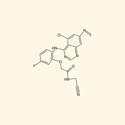 N#CCNC(=O)COc1cc(F)ccc1Nc1ncnc2cc(N=S)cc(Cl)c12